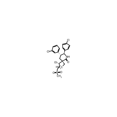 CC[C@@H](CCS(C)(=O)=O)[C@]1(CC(=O)O)C[C@H](c2cccc(Cl)c2)[C@@H](c2ccc(Cl)cc2)NC1=O